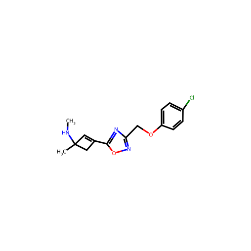 CNC1(C)C=C(c2nc(COc3ccc(Cl)cc3)no2)C1